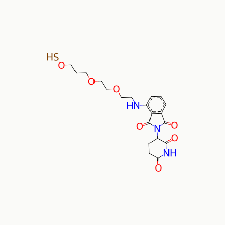 O=C1CCC(N2C(=O)c3cccc(NCCOCCOCCCOS)c3C2=O)C(=O)N1